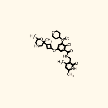 CCN(c1cc(OC2CC(C3(C)CNCC(C)O3)C2)cc(C(=O)NCc2c(C)cc(C)[nH]c2=O)c1Cl)C1CCOCC1